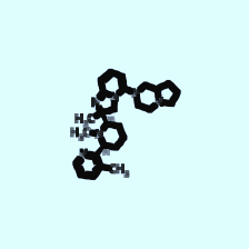 Cc1cccnc1[C@@H]1CCC[C@H](C2(C)CN3C(N4CCN5CCCC5C4)=CC=CC3=N2)N1C